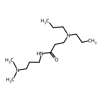 CCCN(CCC)CCC(=O)NCCCN(C)C